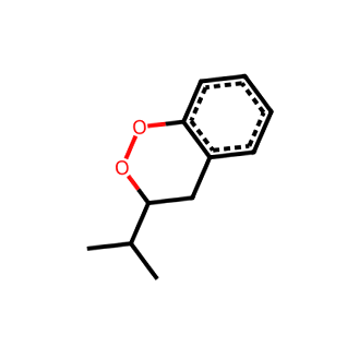 CC(C)C1Cc2ccccc2OO1